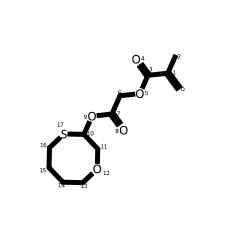 C=C(C)C(=O)OCC(=O)OC1COCCCCS1